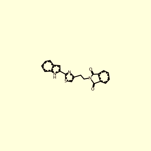 O=C1c2ccccc2C(=O)N1CCc1csc(-c2cc3ccccc3[nH]2)n1